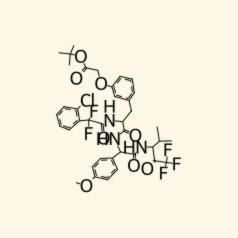 COc1ccc(C(NC(=O)C(Cc2cccc(OCC(=O)OC(C)(C)C)c2)NC(=O)C(F)(F)c2ccccc2Cl)C(=O)NC(C(=O)C(F)(F)F)C(C)C)cc1